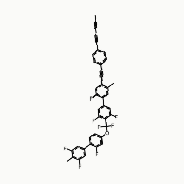 CC#CC#Cc1ccc(C#Cc2cc(F)c(-c3cc(F)c(C(F)(F)Oc4ccc(-c5cc(F)c(C)c(F)c5)c(F)c4)c(F)c3)cc2C)cc1